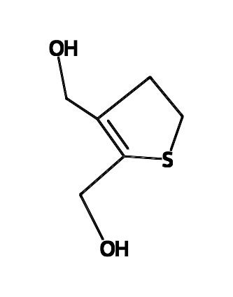 OCC1=C(CO)SCC1